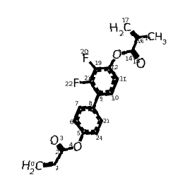 C=CC(=O)Oc1ccc(-c2ccc(OC(=O)C(=C)C)c(F)c2F)cc1